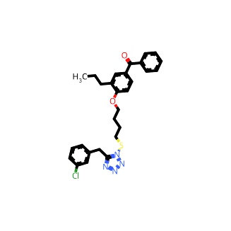 CCCc1cc(C(=O)c2ccccc2)ccc1OCCCCSn1nnnc1Cc1cccc(Cl)c1